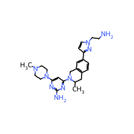 CC1Cc2ccc(-c3ccn(CCN)n3)cc2CN1c1cc(N2CCN(C)CC2)nc(N)n1